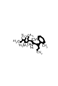 CCCC(CC(C)C(CC)C(C)CC)C(C)C(NC)C1C(CCC)C1C1CCCCCC1C